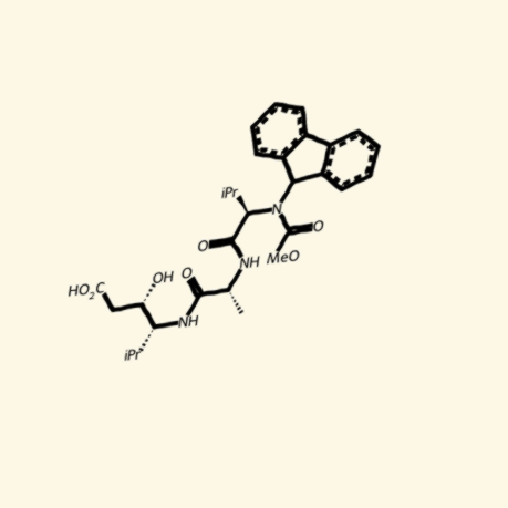 COC(=O)N(C1c2ccccc2-c2ccccc21)[C@@H](C(=O)N[C@H](C)C(=O)N[C@H](C(C)C)[C@@H](O)CC(=O)O)C(C)C